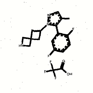 Cc1cnn(C2CC3(CNC3)C2)c1-c1cc(F)ccc1F.O=C(O)C(F)(F)F